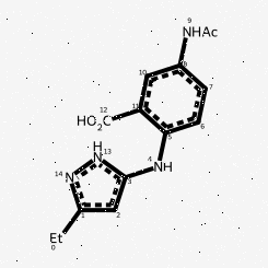 CCc1cc(Nc2ccc(NC(C)=O)cc2C(=O)O)[nH]n1